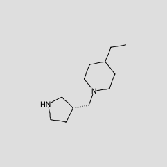 CCC1CCN(C[C@@H]2CCNC2)CC1